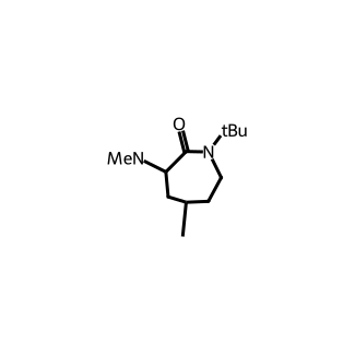 CNC1CC(C)CCN(C(C)(C)C)C1=O